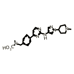 CN1CCC(n2cc(Nc3nccc(-c4ccc(CN(C)C(=O)O)cc4)n3)cn2)CC1